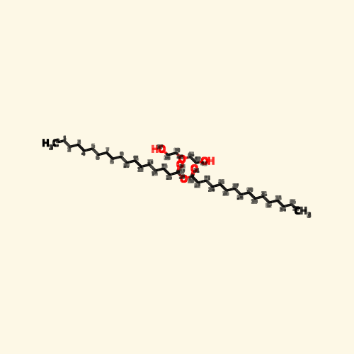 CCCCCCCCCCCCCCCCCC(=O)OC(=O)CCCCCCCCCCCCCCC.OCCOCCO